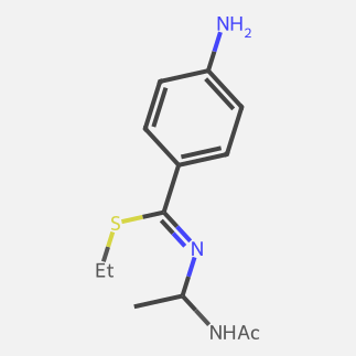 CCS/C(=N\C(C)NC(C)=O)c1ccc(N)cc1